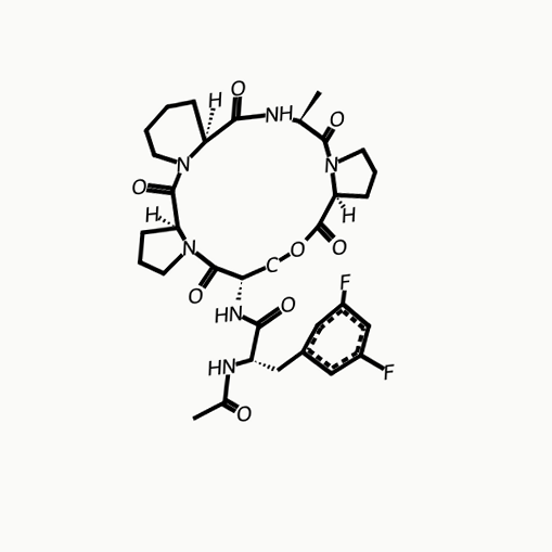 CC(=O)N[C@@H](Cc1cc(F)cc(F)c1)C(=O)N[C@H]1COC(=O)[C@@H]2CCCN2C(=O)[C@H](C)NC(=O)[C@@H]2CCCCN2C(=O)[C@@H]2CCCN2C1=O